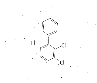 Clc1[c]ccc(-c2ccccc2)c1Cl.[H+]